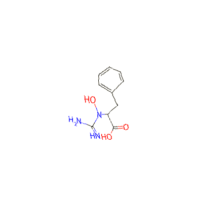 N=C(N)N(O)C(Cc1ccccc1)C(=O)O